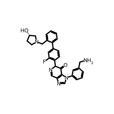 NCc1cccc(-n2cnc3c2C(=O)C(c2ccc(-c4ccccc4CN4CC[C@H](O)C4)cc2F)N=C3)c1